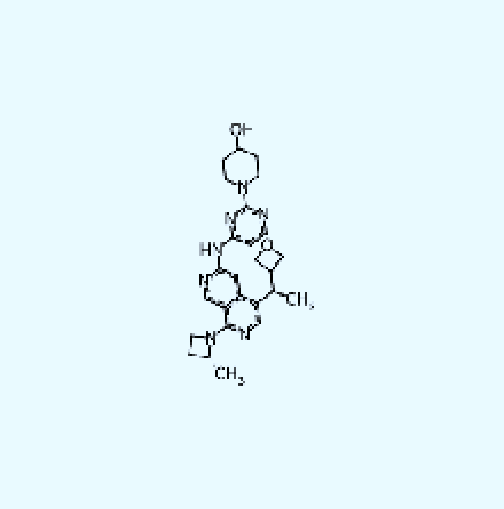 C[C@@H]1CCN1c1ncc([C@H](C)C2COC2)c2cc(Nc3ccnc(N4CCC(O)CC4)n3)ncc12